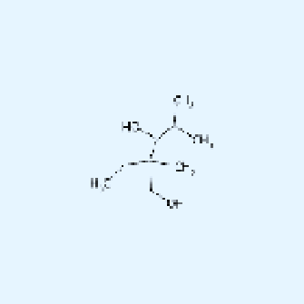 CCC(C)(CO)C(O)C(C)C